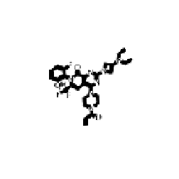 C=CC(=O)N1CCN(c2nc(N3CC(N(CC)CC)C3)nc3c(=O)n(-c4c(O)cccc4F)c(C(F)(F)F)cc23)CC1